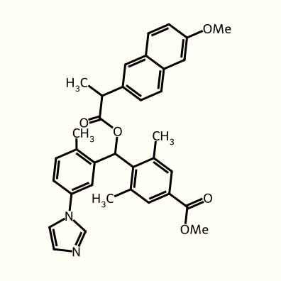 COC(=O)c1cc(C)c(C(OC(=O)C(C)c2ccc3cc(OC)ccc3c2)c2cc(-n3ccnc3)ccc2C)c(C)c1